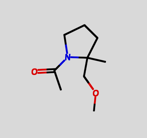 COCC1(C)CCCN1C(C)=O